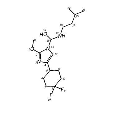 COc1nc(C2CCC(F)(F)CC2)cn1C(O)NCCC(C)C